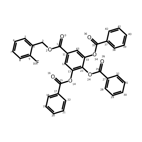 O=C(OCc1ccccc1F)c1cc(OC(=O)c2ccccc2)c(OC(=O)c2ccccc2)c(OC(=O)c2ccccc2)c1